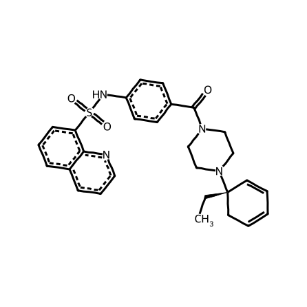 CC[C@@]1(N2CCN(C(=O)c3ccc(NS(=O)(=O)c4cccc5cccnc45)cc3)CC2)C=CC=CC1